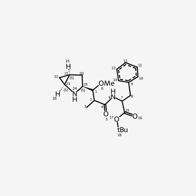 COC(C(C)C(=O)NC(Cc1ccccc1)C(=O)OC(C)(C)C)[C@@H]1C[C@@H]2C[C@@H]2N1